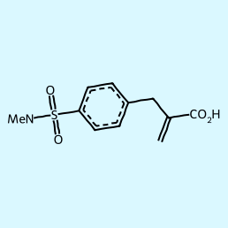 C=C(Cc1ccc(S(=O)(=O)NC)cc1)C(=O)O